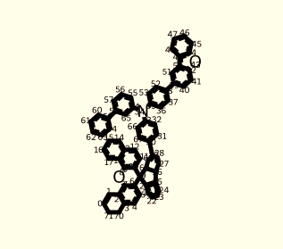 C1=Cc2c(ccc3c2Oc2c(ccc4ccccc24)C32c3ccccc3C3C=CC(c4ccc(N(c5ccc(-c6ccc7oc8ccccc8c7c6)cc5)c5cccc(-c6ccccc6)c5)cc4)=CC32)CC1